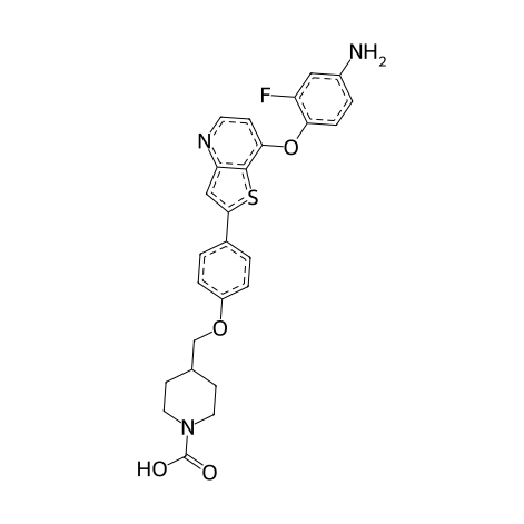 Nc1ccc(Oc2ccnc3cc(-c4ccc(OCC5CCN(C(=O)O)CC5)cc4)sc23)c(F)c1